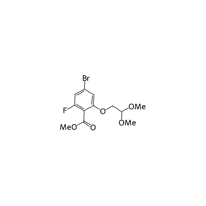 COC(=O)c1c(F)cc(Br)cc1OCC(OC)OC